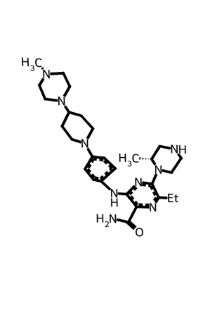 CCc1nc(C(N)=O)c(Nc2ccc(N3CCC(N4CCN(C)CC4)CC3)cc2)nc1N1CCNC[C@H]1C